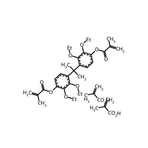 C=C(C)C(=O)O.C=C(C)C(=O)O.C=C(C)C(=O)Oc1ccc(C(C)(C)c2ccc(OC(=O)C(=C)C)c(OCC)c2OCC)c(OCC)c1OCC